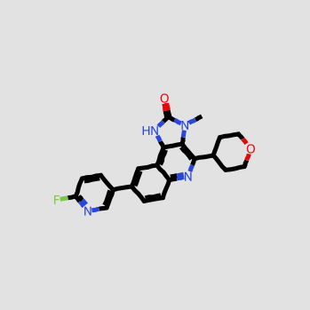 Cn1c(=O)[nH]c2c3cc(-c4ccc(F)nc4)ccc3nc(C3CCOCC3)c21